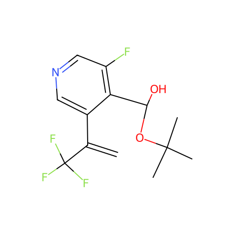 C=C(c1cncc(F)c1C(O)OC(C)(C)C)C(F)(F)F